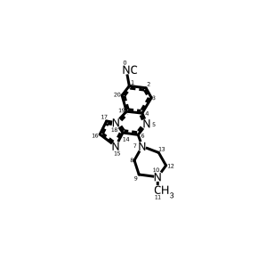 [C-]#[N+]c1ccc2nc(N3CCN(C)CC3)c3nccn3c2c1